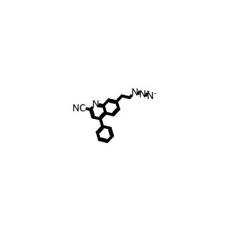 N#Cc1cc(-c2ccccc2)c2ccc(CCN=[N+]=[N-])cc2n1